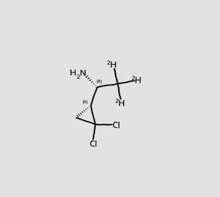 [2H]C([2H])([2H])[C@@H](N)[C@H]1CC1(Cl)Cl